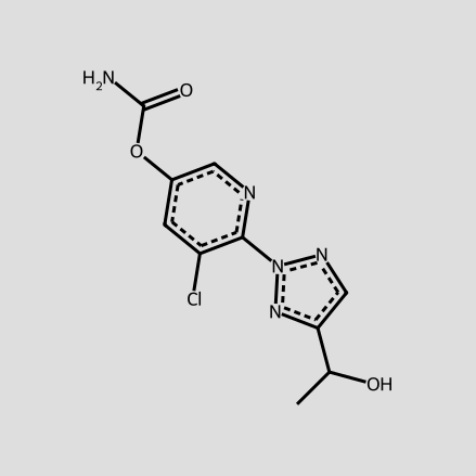 CC(O)c1cnn(-c2ncc(OC(N)=O)cc2Cl)n1